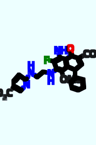 COc1c(NCCNc2ccc(C(=O)O)cn2)c(F)c(N)c2c1C(c1ccccc1)C=C(C(=O)O)C2=O